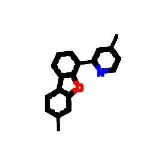 Cc1ccnc(-c2cccc3c2oc2cc(C)ccc23)c1